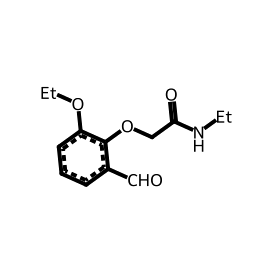 CCNC(=O)COc1c(C=O)cccc1OCC